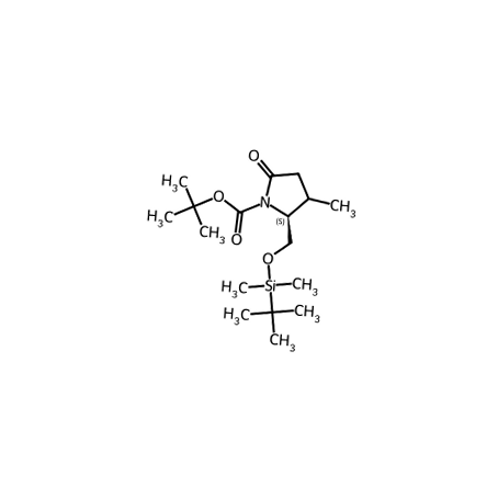 CC1CC(=O)N(C(=O)OC(C)(C)C)[C@@H]1CO[Si](C)(C)C(C)(C)C